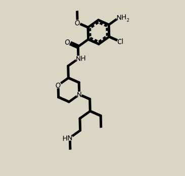 CCC(CCNC)CN1CCOC(CNC(=O)c2cc(Cl)c(N)cc2OC)C1